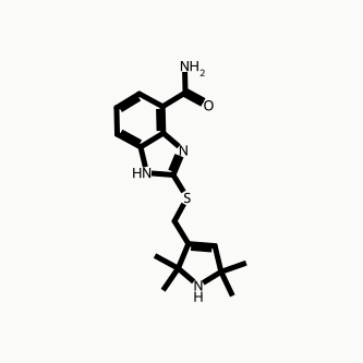 CC1(C)C=C(CSc2nc3c(C(N)=O)cccc3[nH]2)C(C)(C)N1